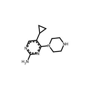 Nc1ncc(C2CC2)c(N2CCNCC2)n1